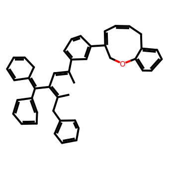 C/C(Cc1ccccc1)=C(\C=C(/C)c1cccc(/C2=C/C=C\Cc3ccccc3OC2)c1)C(=C1/C=CC=CC1)/c1ccccc1